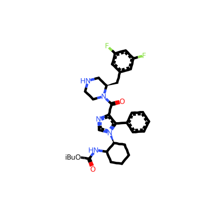 CC(C)COC(=O)NC1CCCC[C@@H]1n1cnc(C(=O)N2CCNC[C@H]2Cc2cc(F)cc(F)c2)c1-c1ccccc1